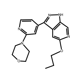 CCCOc1cc2c(-c3ccnc(N4CCOCC4)c3)n[nH]c2cn1